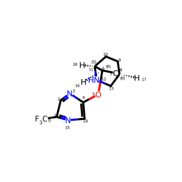 FC(F)(F)c1cnc(O[C@@H]2C[C@H]3CC[C@@H]2NC3)cn1